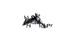 CCCNCC#Cc1ccc(OCCCc2sc(N(C)C(=N)/C=C(/C)C(=N)Nc3nc4ccccc4s3)nc2C(C)=O)c(F)c1